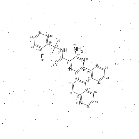 CC(C)(NC(=O)c1nc(-c2ccc3ncccc3c2)c(-c2ccccc2)nc1N)c1ncccc1F